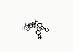 CN(C)c1ccc2c(c1)C[C@]13CCC(=O)C=C1CCC1=C3C2C[C@@]2(C)[C@H]1CC[C@@]2(O)/C=C\CO